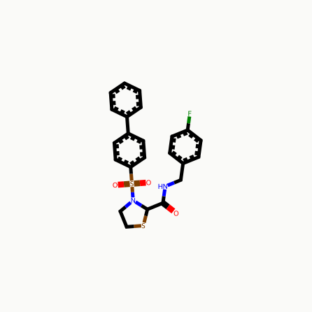 O=C(NCc1ccc(F)cc1)C1SCCN1S(=O)(=O)c1ccc(-c2ccccc2)cc1